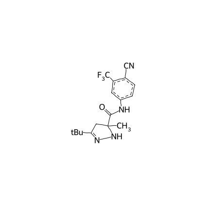 CC(C)(C)C1=NNC(C)(C(=O)Nc2ccc(C#N)c(C(F)(F)F)c2)C1